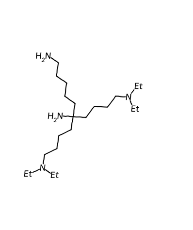 CCN(CC)CCCCC(N)(CCCCCN)CCCCN(CC)CC